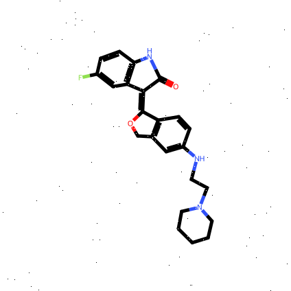 O=C1Nc2ccc(F)cc2C1=C1OCc2cc(NCCN3CCCCC3)ccc21